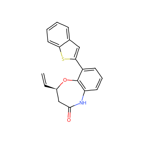 C=C[C@@H]1CC(=O)Nc2cccc(-c3cc4ccccc4s3)c2O1